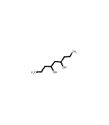 CCCC(O)CC(O)CCC